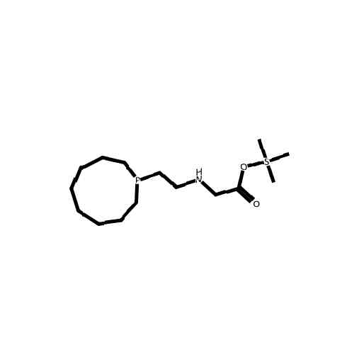 CS(C)(C)OC(=O)CNCCP1CCCCCCCC1